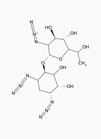 CC(O)C1O[C@H](O[C@@H]2C(N=[N+]=[N-])C[C@@H](N=[N+]=[N-])[C@@H](O)C2O)C(N=[N+]=[N-])[C@@H](O)[C@@H]1O